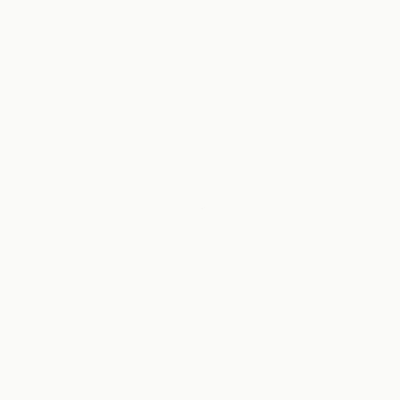 O=CC1Sc2ccccc2C1=O